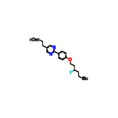 CCCCCCCCCCCCc1cnc(-c2ccc(OCCC(F)CCC(C)CC)cc2)nc1